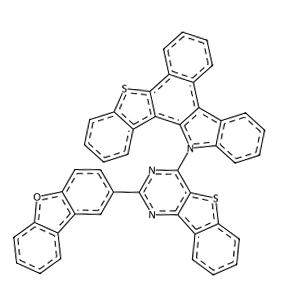 c1ccc2c(c1)oc1ccc(-c3nc(-n4c5ccccc5c5c6ccccc6c6sc7ccccc7c6c54)c4sc5ccccc5c4n3)cc12